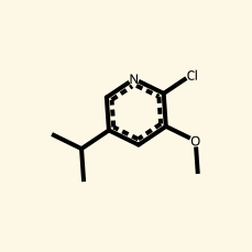 COc1cc(C(C)C)cnc1Cl